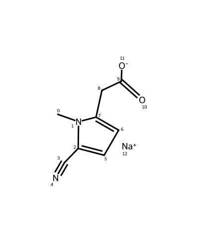 Cn1c(C#N)ccc1CC(=O)[O-].[Na+]